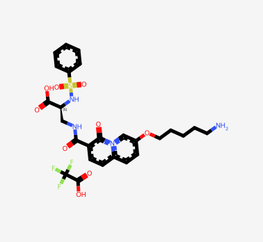 NCCCCCOc1ccc2ccc(C(=O)NC[C@H](NS(=O)(=O)c3ccccc3)C(=O)O)c(=O)n2c1.O=C(O)C(F)(F)F